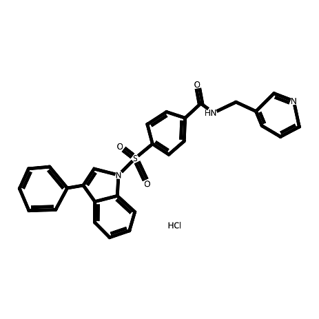 Cl.O=C(NCc1cccnc1)c1ccc(S(=O)(=O)n2cc(-c3ccccc3)c3ccccc32)cc1